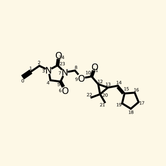 C#CCN1CC(=O)N(COC(=O)C2C(C=C3CCCC3)C2(C)C)C1=O